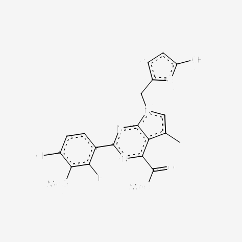 COC(=O)c1nc(-c2ccc(Cl)c(OC)c2F)nc2c1c(C)cn2Cc1ccc(C(F)(F)F)o1